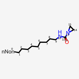 CCCCCCCCCCCCCCCCCCNC(=O)N1CC1